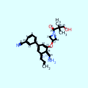 C=C/C=c1/cc(-c2cccc(C#N)c2)cc(OC2CN(C(=O)C(C)(C)CO)C2)/c1=C/N